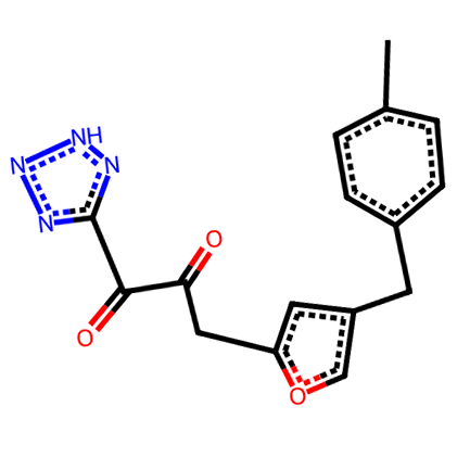 Cc1ccc(Cc2coc(CC(=O)C(=O)c3nn[nH]n3)c2)cc1